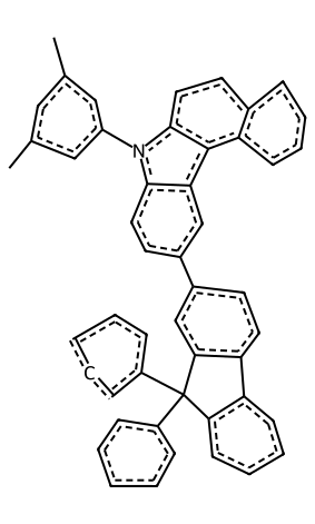 Cc1cc(C)cc(-n2c3ccc(-c4ccc5c(c4)C(c4ccccc4)(c4ccccc4)c4ccccc4-5)cc3c3c4ccccc4ccc32)c1